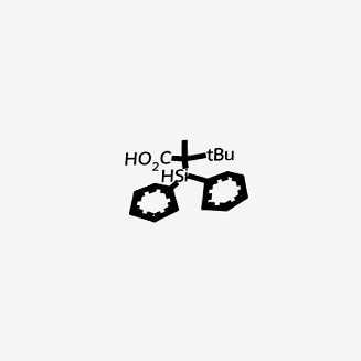 CC(C)(C)C(C)(C(=O)O)[SiH](c1ccccc1)c1ccccc1